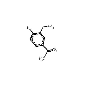 C=C(C)c1ccc(F)c(CC)c1